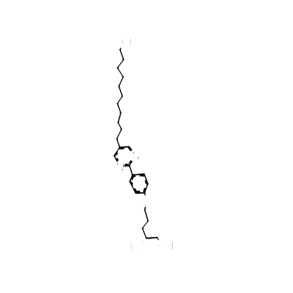 CCCCCCCCCCCCc1cnc(-c2ccc(OCCC[C@@H](C)CC)cc2)nc1